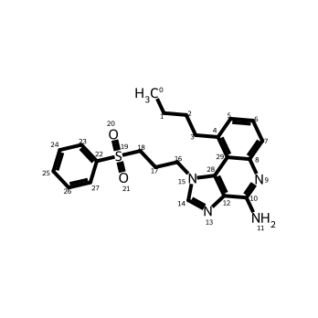 CCCCc1cccc2nc(N)c3ncn(CCCS(=O)(=O)c4ccccc4)c3c12